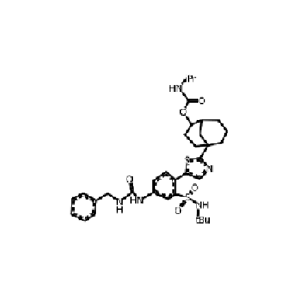 CC(C)NC(=O)OC1CCC2(c3ncc(-c4ccc(NC(=O)NCc5ccccc5)cc4S(=O)(=O)NC(C)(C)C)s3)CCCC1C2